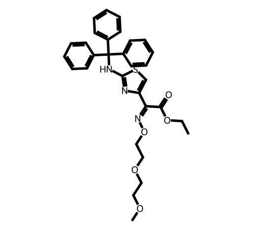 CCOC(=O)C(=NOCCOCCOC)c1csc(NC(c2ccccc2)(c2ccccc2)c2ccccc2)n1